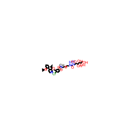 CN(CCOCCNC(=O)NCC(O)C(O)C(O)C(O)CO)S(=O)(=O)c1ccc(Cl)c(COC2(c3cnccc3-c3ccccc3OC3CC3)CC2)c1